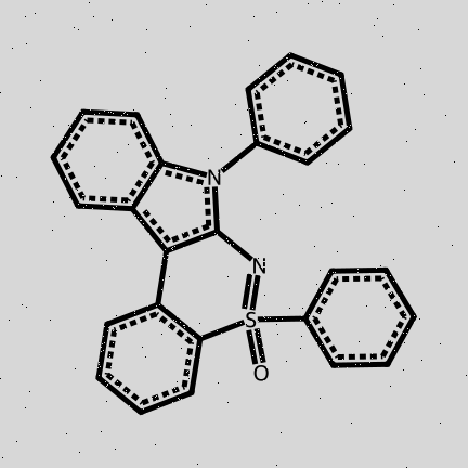 O=S1(c2ccccc2)=Nc2c(c3ccccc3n2-c2ccccc2)-c2ccccc21